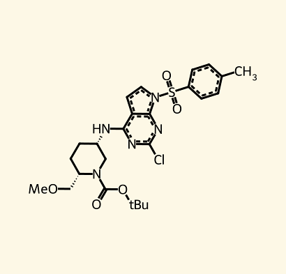 COC[C@@H]1CC[C@H](Nc2nc(Cl)nc3c2ccn3S(=O)(=O)c2ccc(C)cc2)CN1C(=O)OC(C)(C)C